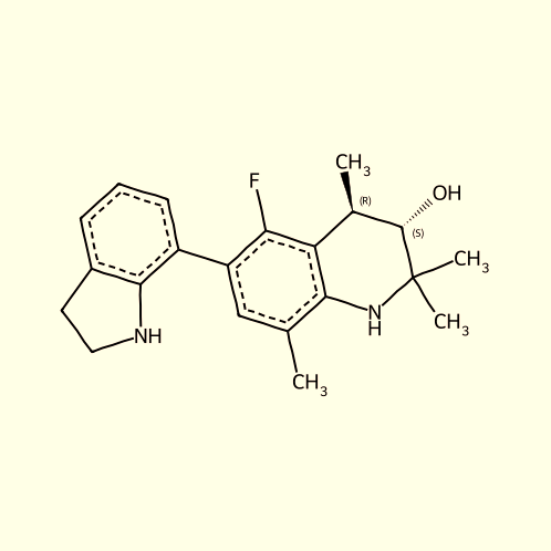 Cc1cc(-c2cccc3c2NCC3)c(F)c2c1NC(C)(C)[C@@H](O)[C@@H]2C